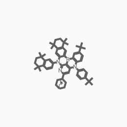 CC(C)(C)c1ccc(N2c3ccc(C(C)(C)C)cc3B3c4cc5c(cc4N(c4ccc6c(c4)C(C)(C)CCC6(C)C)c4nc(C67CCC(CC6)CC7)cc2c43)C(C)(C)CCC5(C)C)cc1